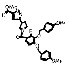 COC(=O)c1cc(C2CCN(C(=O)c3ccc(OCc4ccc(OC)cc4)c(OCc4ccc(OC)cc4)c3F)C2)no1